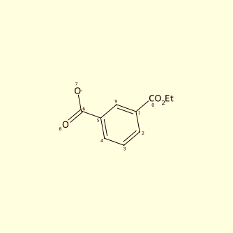 CCOC(=O)c1cccc(C([O])=O)c1